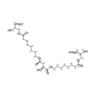 CCCCCCCC(CCC)COC(=O)CCCCCCCOC(=O)CC(O)C(=O)OCCCCCCCC(=O)OCC(CCC)CCCCCCC